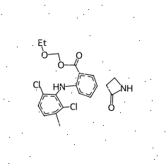 CCOCOC(=O)c1ccccc1Nc1c(Cl)ccc(C)c1Cl.O=C1CCN1